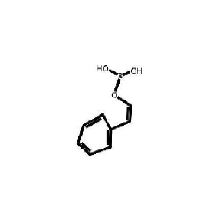 OB(O)O/C=C\c1ccccc1